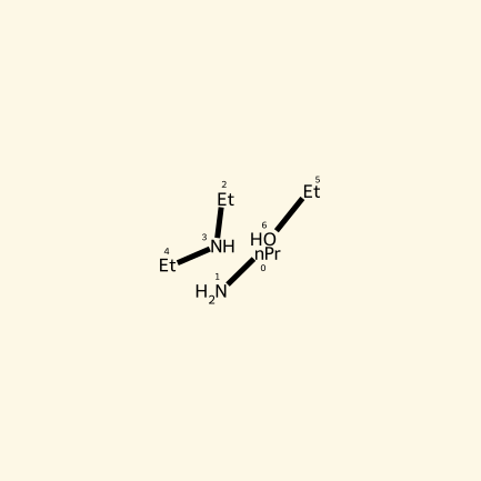 CCCN.CCNCC.CCO